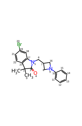 CC1(C)C(=O)N(CC2CN(c3ccccc3)C2)c2cc(Br)ccc21